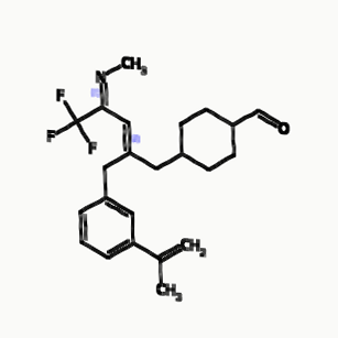 C=C(C)c1cccc(C/C(=C\C(=N/C)C(F)(F)F)CC2CCC(C=O)CC2)c1